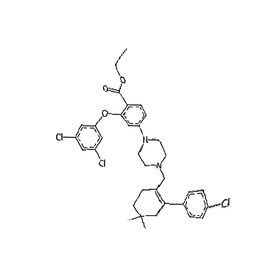 CCOC(=O)c1ccc(N2CCN(CC3=C(c4ccc(Cl)cc4)CC(C)(C)CC3)CC2)cc1Oc1cc(Cl)cc(Cl)c1